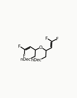 CCCCCCCCCCCC(C=C(F)F)OC(C=C(F)F)CCCCCCCCCCC